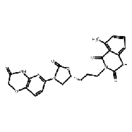 Cc1cccc2[nH]c(=O)n(CCC[C@@H]3CN(c4ccc5c(n4)NC(=O)CO5)C(=O)O3)c(=O)c12